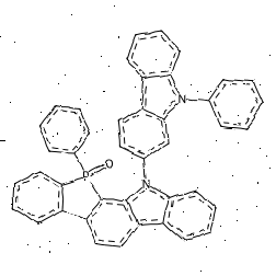 O=P1(c2ccccc2)c2ccccc2-c2ccc3c4ccccc4n(-c4ccc5c6ccccc6n(-c6ccccc6)c5c4)c3c21